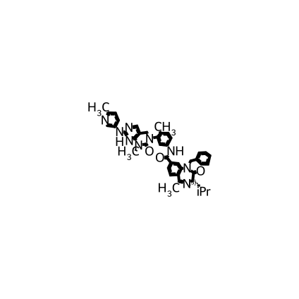 CC1=N[C@@H](CC(C)C)C(=O)N(Cc2ccccc2)c2cc(C(=O)Nc3ccc(C)c(N4Cc5cnc(Nc6ccc(C)nc6)nc5N(C)C4=O)c3)ccc21